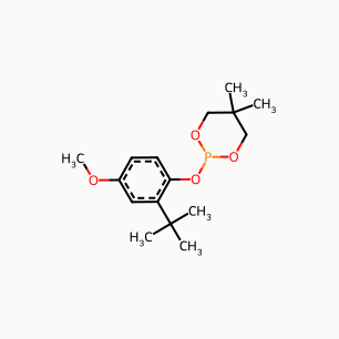 COc1ccc(OP2OCC(C)(C)CO2)c(C(C)(C)C)c1